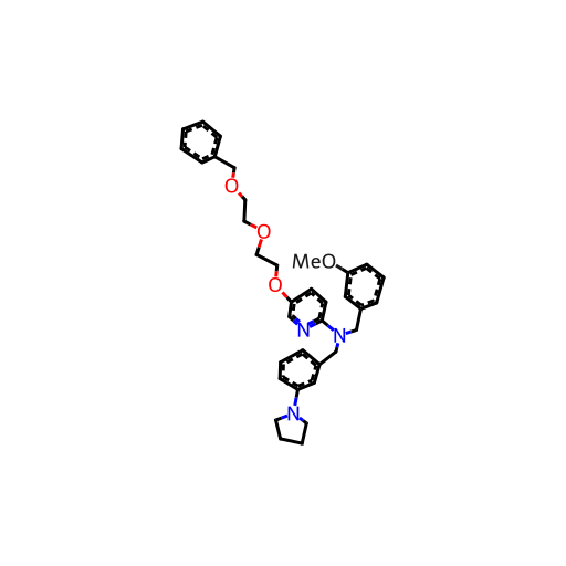 COc1cccc(CN(Cc2cccc(N3CCCC3)c2)c2ccc(OCCOCCOCc3ccccc3)cn2)c1